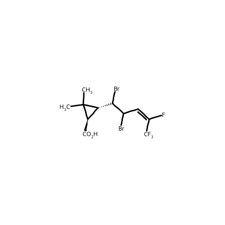 CC1(C)[C@H](C(=O)O)[C@H]1C(Br)C(Br)/C=C(/F)C(F)(F)F